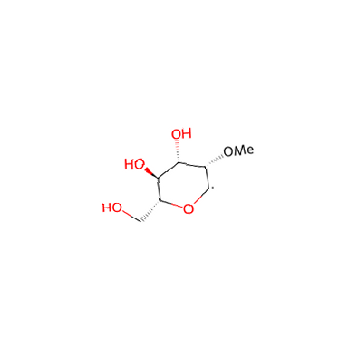 CO[C@@H]1[CH]O[C@H](CO)[C@@H](O)[C@@H]1O